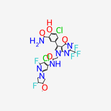 CO[C@@H]1CN(c2cc(NC(=O)Cn3cc(-c4cc(Cl)c(O)c(C(N)=O)c4)c4c(=O)n(C)c(C(F)(F)F)nc43)c(Cl)c(F)n2)C[C@@H]1F